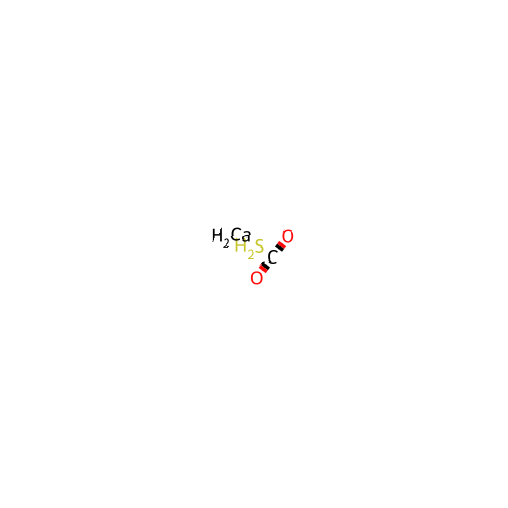 O=C=O.S.[CaH2]